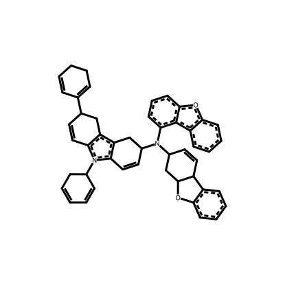 C1=CCC(n2c3c(c4c2C=CC(N(c2cccc5oc6ccccc6c25)C2C=CC5c6ccccc6OC5C2)C4)CC(C2=CCCC=C2)C=C3)C=C1